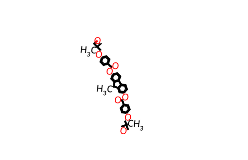 CC1c2cc(OC(=O)c3ccc(OCC4(C)COC4)cc3)ccc2-c2ccc(OC(=O)c3ccc(OCC4(C)COC4)cc3)cc21